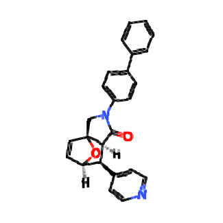 O=C1[C@H]2[C@@H](c3ccncc3)[C@H]3C=C[C@@]2(CN1c1ccc(-c2ccccc2)cc1)O3